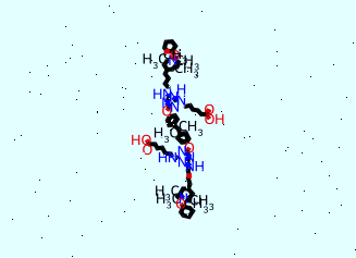 CC(C)(c1ccc(Oc2nc(NCCCCCC(=O)O)nc(NCCCCC3CC(C)(C)N(OC4CCCCC4)C(C)(C)C3)n2)cc1)c1ccc(Oc2nc(NCCCCCC(=O)O)nc(NCCCCC3CC(C)(C)N(OC4CCCCC4)C(C)(C)C3)n2)cc1